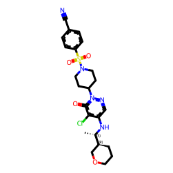 C[C@H](Nc1cnn(C2CCN(S(=O)(=O)c3ccc(C#N)cc3)CC2)c(=O)c1Cl)[C@H]1CCCOC1